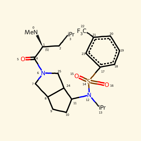 CN[C@@H](CC(C)C)C(=O)N1CC2CCC(N(C(C)C)S(=O)(=O)c3cccc(C(F)(F)F)c3)C2C1